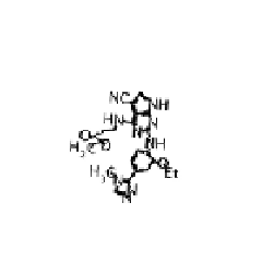 CCOc1cc(-c2nncn2C)ccc1Nc1nc(NCCS(C)(=O)=O)c2c(C#N)c[nH]c2n1